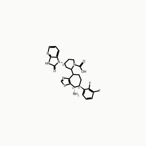 N[C@@H]1c2scnc2C(C2C[C@H](n3c(=O)[nH]c4ncccc43)CCN2C(=O)O)CC[C@H]1c1cccc(F)c1F